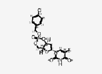 O=c1[nH]c(=O)n([C@H]2C[C@@H]3OP(=O)(OCc4ccc(Cl)cc4)OC[C@H]3O2)cc1F